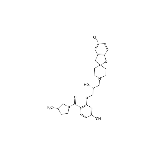 O=C(c1ccc(O)cc1OC[C@H](O)CN1CCC2(CC1)Cc1cc(Cl)ccc1O2)N1CCC(C(F)(F)F)C1